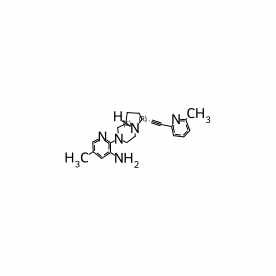 Cc1cnc(N2CCN3[C@@H](CC[C@@H]3C#Cc3cccc(C)n3)C2)c(N)c1